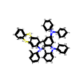 Cc1ccccc1N1B2c3ccccc3N(c3ccccc3)c3cc(N(c4ccccc4)c4ccccc4)cc(c32)-c2cc3c(cc21)Sc1ccccc1S3